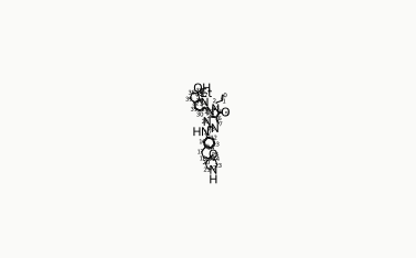 C=CCn1c(=O)c2cnc(Nc3ccc4c(c3)CCC3(CCNCC3)O4)nc2n1-c1ccc2c(n1)[C@@](O)(CC)CC2